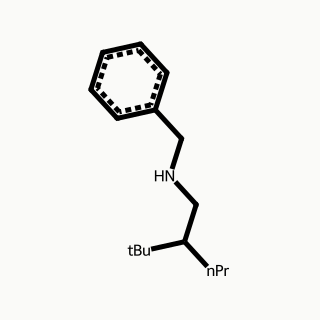 C[CH]CC(CNCc1ccccc1)C(C)(C)C